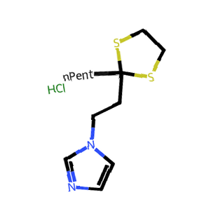 CCCCCC1(CCn2ccnc2)SCCS1.Cl